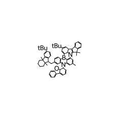 Cc1cc2c3c(c1)N(C1C=CC=C4c5ccccc5OC41)c1cc(CC4c5ccc(C(C)(C)C)cc5C5(C)CCCCC45C)ccc1B3C1=CC(C(C)(C)C)=CC3C4=C(N2C13)C(C)(C)c1ccccc14